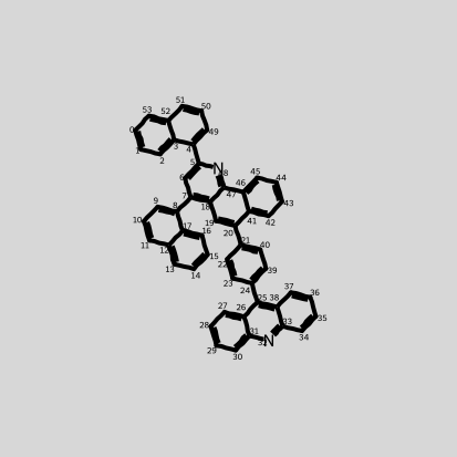 c1ccc2c(-c3cc(-c4cccc5ccccc45)c4cc(-c5ccc(-c6c7ccccc7nc7ccccc67)cc5)c5ccccc5c4n3)cccc2c1